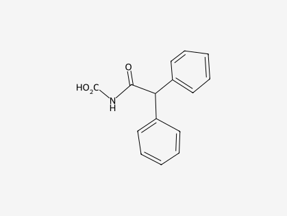 O=C(O)NC(=O)C(c1ccccc1)c1ccccc1